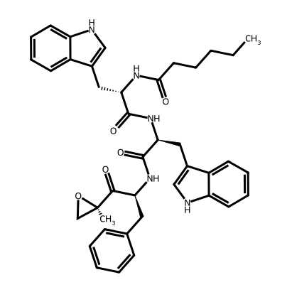 CCCCCC(=O)N[C@@H](Cc1c[nH]c2ccccc12)C(=O)N[C@@H](Cc1c[nH]c2ccccc12)C(=O)N[C@@H](Cc1ccccc1)C(=O)[C@@]1(C)CO1